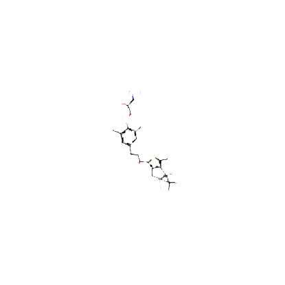 Cc1cc(CCC(=O)c2sc(C)c3c2C[C@@H]2[C@H]3C2(C)C)cc(C)c1OCC(O)CN